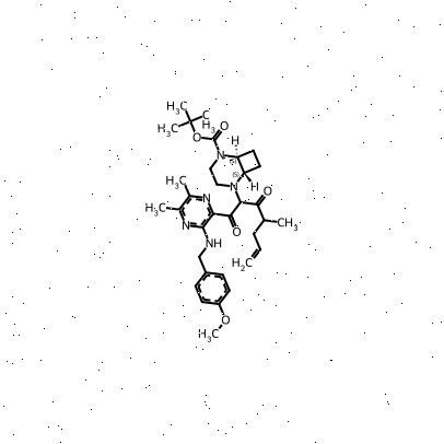 C=CCC(C)C(=O)C(C(=O)c1nc(C)c(C)nc1NCc1ccc(OC)cc1)N1CCN(C(=O)OC(C)(C)C)[C@H]2CC[C@@H]21